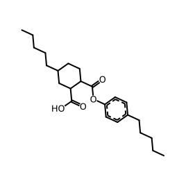 CCCCCc1ccc(OC(=O)C2CCC(CCCCC)CC2C(=O)O)cc1